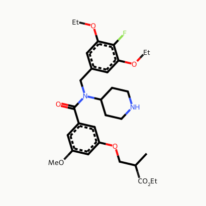 CCOC(=O)C(C)COc1cc(OC)cc(C(=O)N(Cc2cc(OCC)c(F)c(OCC)c2)C2CCNCC2)c1